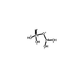 C=P(O)(O)OP(O)O